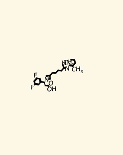 C=C/C(CCCCC1CN([C@@H](CC(=O)O)c2cc(F)cc(F)c2)C1)=N\C1=C(C)CCCN1